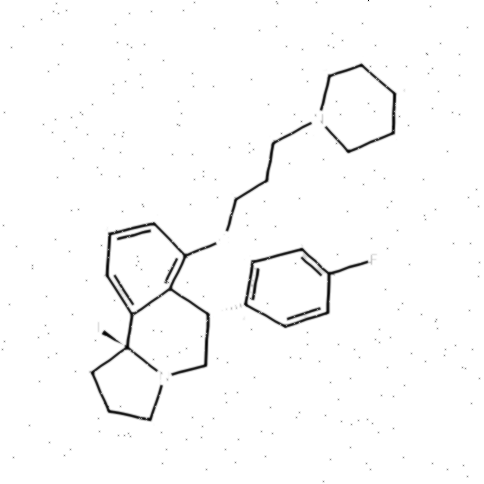 Fc1ccc([C@@H]2CN3CCC[C@@H]3c3cccc(OCCCN4CCCCC4)c32)cc1